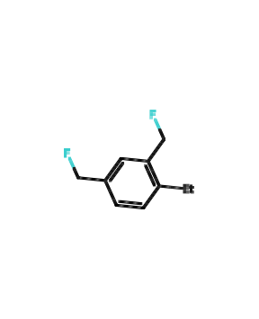 CCc1ccc(CF)cc1CF